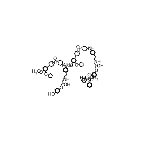 COc1ccc(C2CCN(C(=O)N3CCC(Nc4ccc(CCNC[C@H](O)COc5ccc(O)cc5)cc4)CC3)CC2)cc1OC1CCCC1.COc1ccc(C2CCN(C(=O)N3CCC(Nc4ccc(CCNC[C@H](O)COc5ccc(O[Si](c6ccccc6)(c6ccccc6)C(C)(C)C)cc5)cc4)CC3)CC2)cc1OC1CCCC1